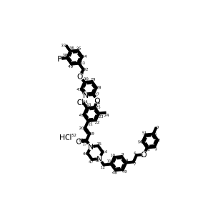 Cc1ccc(OCCc2ccc(CN3CCN(C(=O)C=Cc4cc(C)c(Oc5ccc(OCc6ccc(C)c(F)c6)cn5)c(Cl)c4)CC3)cc2)cc1.Cl